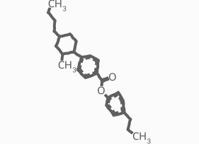 CCCCC1CCC(c2ccc(C(=O)Oc3ccc(CCC)cc3)cc2)C(C)C1